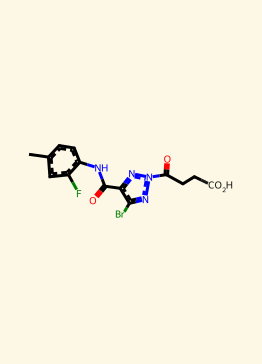 Cc1ccc(NC(=O)c2nn(C(=O)CCC(=O)O)nc2Br)c(F)c1